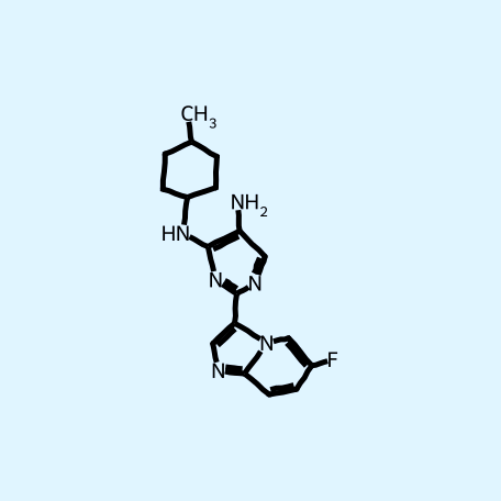 CC1CCC(Nc2nc(-c3cnc4ccc(F)cn34)ncc2N)CC1